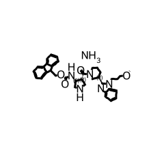 COCCCn1c([C@@H]2CCCN(C(=O)[C@@H]3CNC[C@H]3NC(=O)OCC3c4ccccc4-c4ccccc43)C2)nc2ccccc21.N